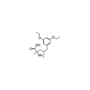 CCOc1cc(CC(C)CC(C)(N)C(=O)O)cc(OCC)c1